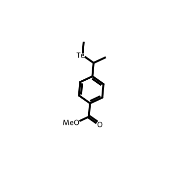 COC(=O)c1ccc(C(C)[Te]C)cc1